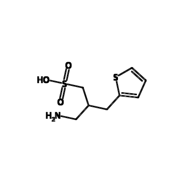 NCC(Cc1cccs1)CS(=O)(=O)O